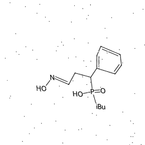 CCC(C)P(=O)(O)C(CC=NO)c1ccccc1